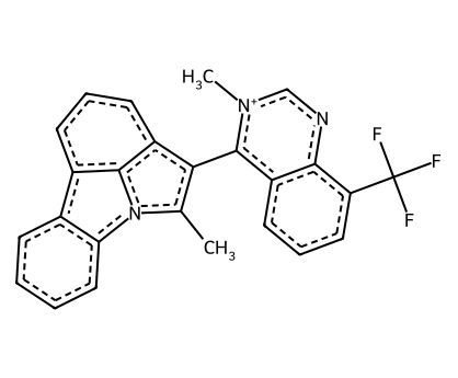 Cc1c(-c2c3cccc(C(F)(F)F)c3nc[n+]2C)c2cccc3c4ccccc4n1c23